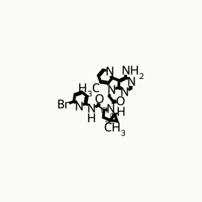 Cc1ccnc2c3c(N)ncnc3n(CC(=O)N3[C@H](C(=O)Nc4cccc(Br)n4)C[C@@]4(C)C[C@@H]34)c12